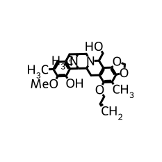 C=CCOc1c(C)c2c(c3c1CC1C4c5c(cc(C)c(OC)c5O)CC(CN1C3CO)N4C)OCO2